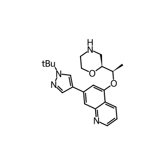 C[C@@H](Oc1cc(-c2cnn(C(C)(C)C)c2)cc2ncccc12)[C@@H]1CNCCO1